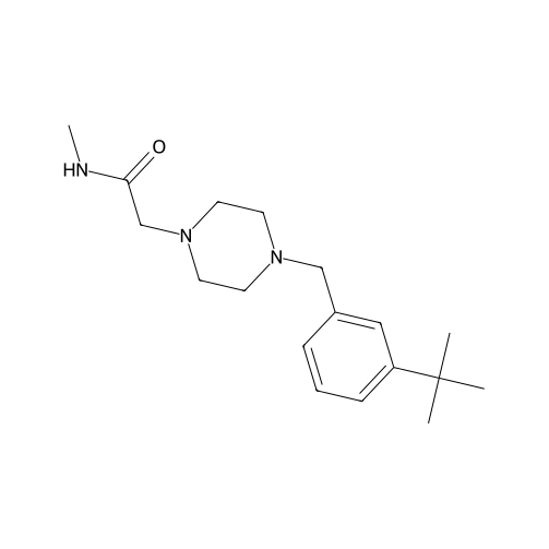 CNC(=O)CN1CCN(Cc2cccc(C(C)(C)C)c2)CC1